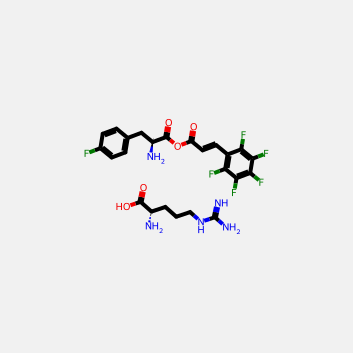 N=C(N)NCCC[C@H](N)C(=O)O.N[C@@H](Cc1ccc(F)cc1)C(=O)OC(=O)C=Cc1c(F)c(F)c(F)c(F)c1F